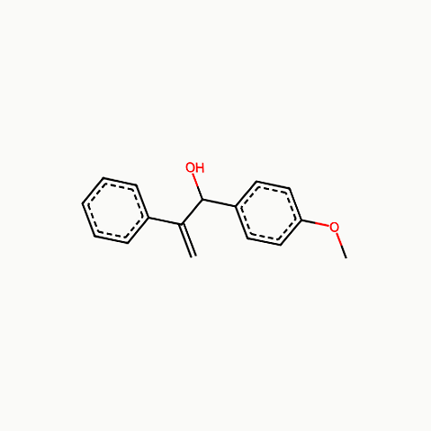 C=C(c1ccccc1)C(O)c1ccc(OC)cc1